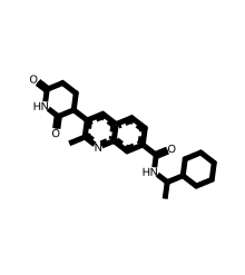 Cc1nc2cc(C(=O)NC(C)C3CCCCC3)ccc2cc1C1CCC(=O)NC1=O